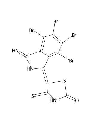 N=C1NC(=C2SC(=O)NC2=S)c2c(Br)c(Br)c(Br)c(Br)c21